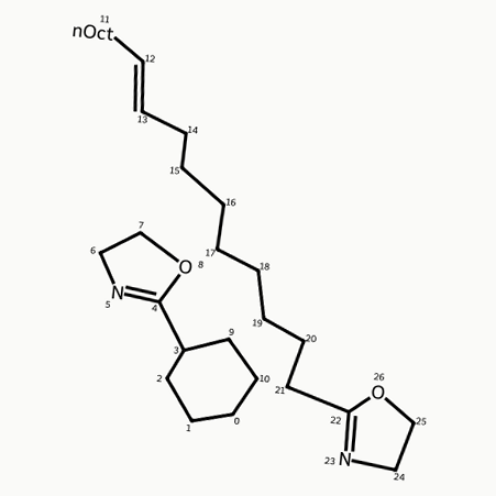 C1CCC(C2=NCCO2)CC1.CCCCCCCCC=CCCCCCCCCC1=NCCO1